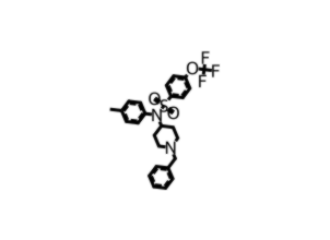 Cc1ccc(N(C2CCN(Cc3ccccc3)CC2)S(=O)(=O)c2ccc(OC(F)(F)F)cc2)cc1